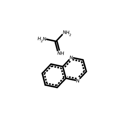 N=C(N)N.c1ccc2nccnc2c1